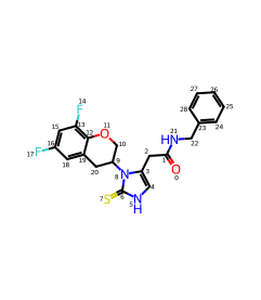 O=C(Cc1c[nH]c(=S)n1C1COc2c(F)cc(F)cc2C1)NCc1ccccc1